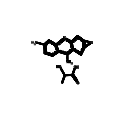 CC(O)C(=O)O.Nc1ccc2c(N)c3cc4c(cc3nc2c1)O4